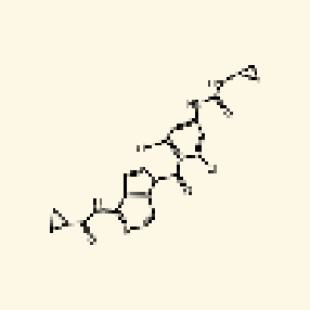 O=C(Nc1cc(Cl)c(C(=O)n2ccc3c(NC(=O)C4CC4)nccc32)c(Cl)c1)NC1CC1